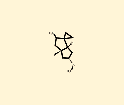 CO[C@@H]1C[C@@H]2CC(N)C3(CC3)[C@@H]2C1